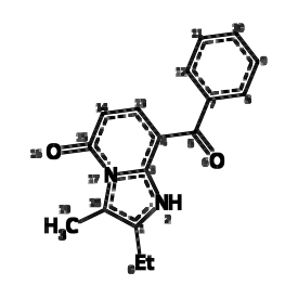 CCc1[nH]c2c(C(=O)c3ccccc3)ccc(=O)n2c1C